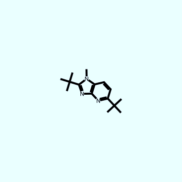 Cn1c(C(C)(C)C)nc2nc(C(C)(C)C)ccc21